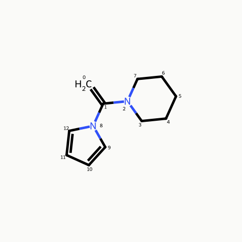 C=C(N1CCCCC1)n1cccc1